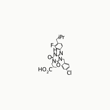 CC(C)Cc1ccc(/N=c2\[nH]c(=O)n(C[C@H](C)C(=O)O)c(=O)n2Cc2ccc(Cl)cc2)cc1F